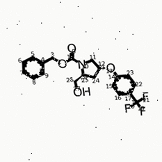 O=C(OCc1ccccc1)N1C[C@H](Oc2ccc(C(F)(F)F)cc2)C[C@H]1CO